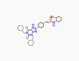 CC(=O)c1ccccc1NC(=O)C=Cc1ccc(-c2nc3c([nH]2)c(=O)n(CC2CCCCC2)c(=O)n3CC2CCCCC2)cc1